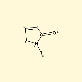 O=C1C=CCN1I